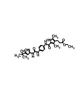 CCOC(=O)CCc1c(C)[nH]c(C(=O)Nc2ccc(NC(=O)Nc3cc(C(C)(C)C)on3)cc2)c1C